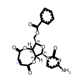 Nc1ccn([C@@H]2O[C@H](COC(=O)c3ccccc3)[C@H]3OC(=O)/C=C\C(=O)O[C@H]32)c(=O)n1